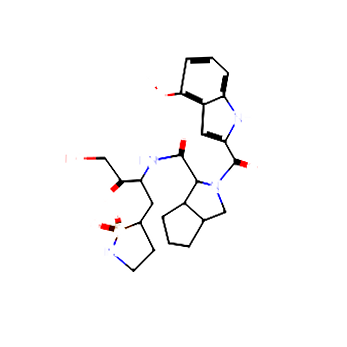 COc1cccc2[nH]c(C(=O)N3CC4CCCC4C3C(=O)NC(CC3CCNS3(=O)=O)C(=O)CO)cc12